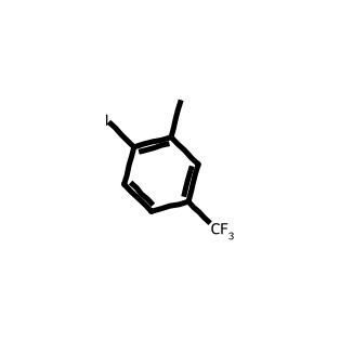 Cc1cc(C(F)(F)F)ccc1I